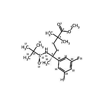 COC(=O)C(C)(C)CC[C@](C)(N[S@@+]([O-])C(C)(C)C)c1cc(F)cc(F)c1